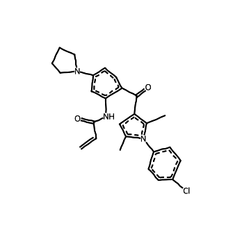 C=CC(=O)Nc1cc(N2CCCC2)ccc1C(=O)c1cc(C)n(-c2ccc(Cl)cc2)c1C